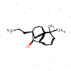 CCCC12CCC3(C1)C(=CC=CC3(C)C)C2=O